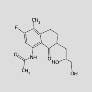 CC(=O)Nc1cc(F)c(C)c2c1C(=O)C(CC(O)CO)CC2